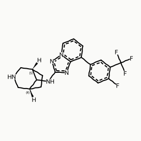 Fc1ccc(-c2cccn3nc(NC4[C@@H]5CC[C@H]4CNC5)nc23)cc1C(F)(F)F